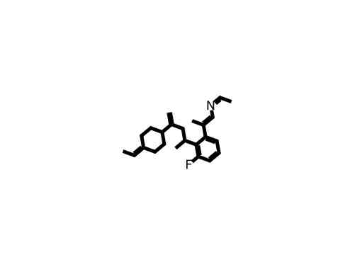 C=C(CC(C)c1c(F)cccc1/C(C)=C/N=C\C)C1CCC(=CC)CC1